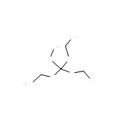 CCOC(O[SiH3])(OCC)OCC